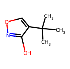 CC(C)(C)c1conc1O